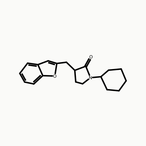 O=C1C(Cc2cc3ccccc3o2)CCN1C1CCCCC1